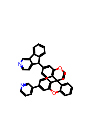 c1cncc(-c2ccc3c(c2)Oc2ccccc2C32c3ccccc3Oc3cc(C4c5ccccc5-c5cnccc54)ccc32)c1